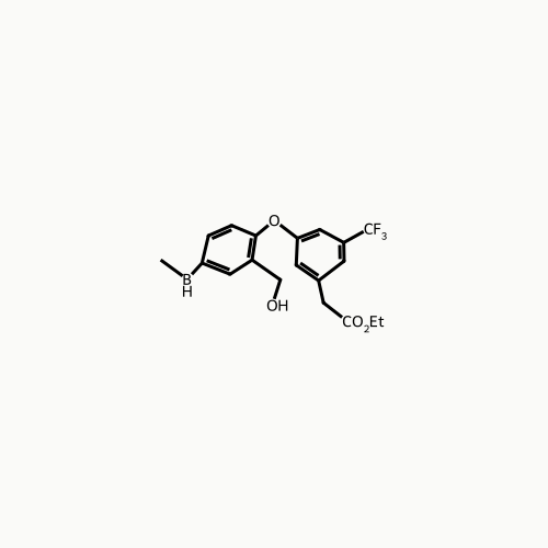 CBc1ccc(Oc2cc(CC(=O)OCC)cc(C(F)(F)F)c2)c(CO)c1